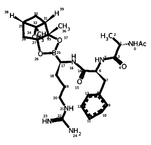 CC(=O)N[C@@H](C)C(=O)N[C@@H](Cc1ccccc1)C(=O)N[C@@H](CCCNC(=N)N)B1OC2C[C@@H]3C[C@@H](C3(C)C)[C@]2(C)O1